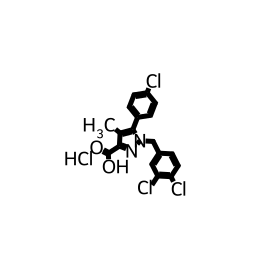 Cc1c(C(=O)O)nn(Cc2ccc(Cl)c(Cl)c2)c1-c1ccc(Cl)cc1.Cl